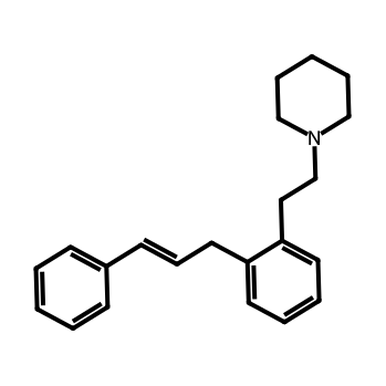 C(=C\c1ccccc1)/Cc1ccccc1CCN1CCCCC1